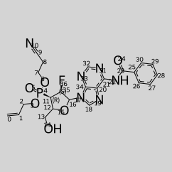 C=CCOP(=O)(OCCC#N)[C@@H]1C(CO)OC(n2cnc3c(NC(=O)c4ccccc4)ncnc32)[C@@H]1F